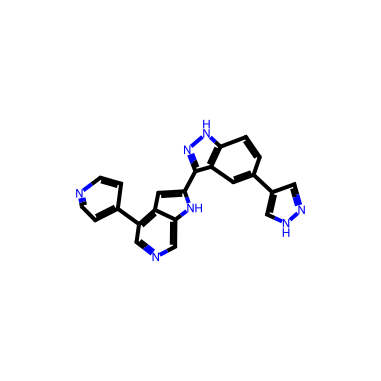 c1cc(-c2cncc3[nH]c(-c4n[nH]c5ccc(-c6cn[nH]c6)cc45)cc23)ccn1